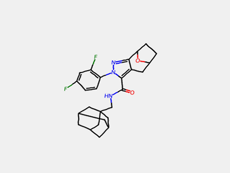 O=C(NCC12CC3CC(CC(C3)C1)C2)c1c2c(nn1-c1ccc(F)cc1F)C1CCC(C2)O1